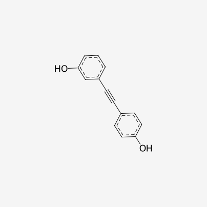 Oc1ccc(C#Cc2cccc(O)c2)cc1